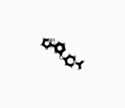 CC(C)N1CCC(Oc2cccc(C3CCCN3)c2)CC1